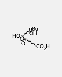 CCCCC(O)CC=C[C@H]1C(O)CC(=O)[C@@H]1CC=CCCCC(=O)O